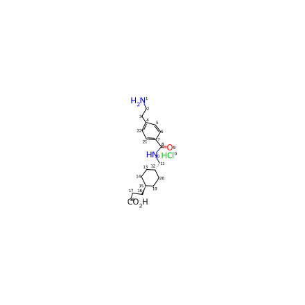 Cl.NCCc1ccc(C(=O)NC[C@H]2CC[C@H](CCC(=O)O)CC2)cc1